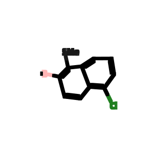 [B]c1ccc2c(Cl)cccc2c1SC